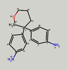 Nc1ccc([Si]2(c3ccc(N)cc3)CCCO[SiH2]2)cc1